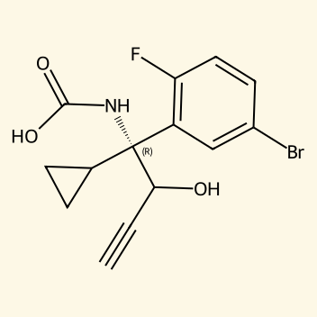 C#CC(O)[C@](NC(=O)O)(c1cc(Br)ccc1F)C1CC1